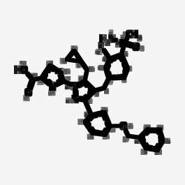 C[SH](N)(=O)c1ccc(Cc2c(-c3cccc(OCc4ccccc4)c3)nn(-c3nc(C(=O)O)cs3)c2CC2CC2)cc1F